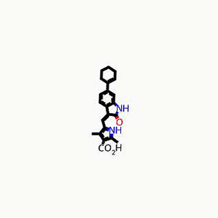 Cc1[nH]c(C=C2C(=O)Nc3cc(C4=CCCCC4)ccc32)c(C)c1C(=O)O